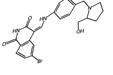 O=C1NC(=O)c2ccc(Br)cc2/C1=C/Nc1ccc(CN2CCCC2CO)cc1